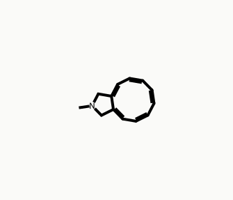 CN1Cc2ccccccccc2C1